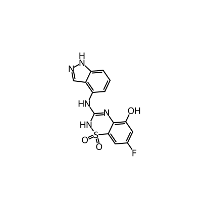 O=S1(=O)NC(Nc2cccc3[nH]ncc23)=Nc2c(O)cc(F)cc21